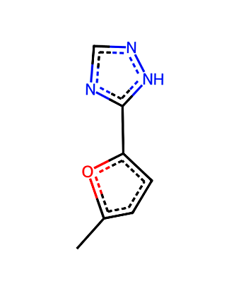 Cc1ccc(-c2ncn[nH]2)o1